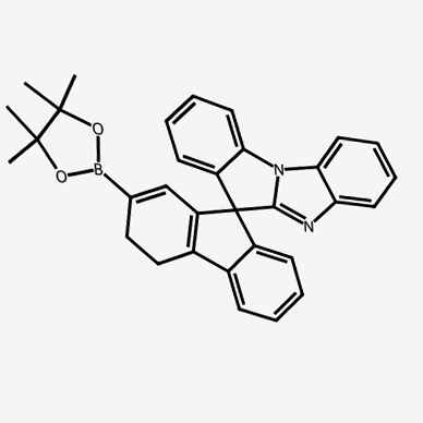 CC1(C)OB(C2=CC3=C(CC2)c2ccccc2C32c3ccccc3-n3c2nc2ccccc23)OC1(C)C